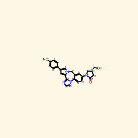 N#Cc1ccc(-c2cc3n(c2)Cc2cc(N4C[C@@H](CO)CC4=O)ccc2-n2ncnc2-3)cc1